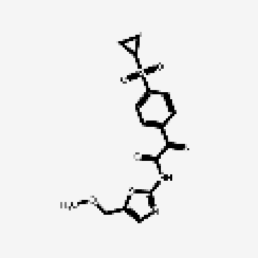 COCc1cnc(NC(=O)C(=N)c2ccc(S(=O)(=O)C3CC3)cc2)s1